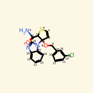 NC(=O)C1SC=CC1(OCc1cccc(Cl)c1)n1cnc2ccccc21